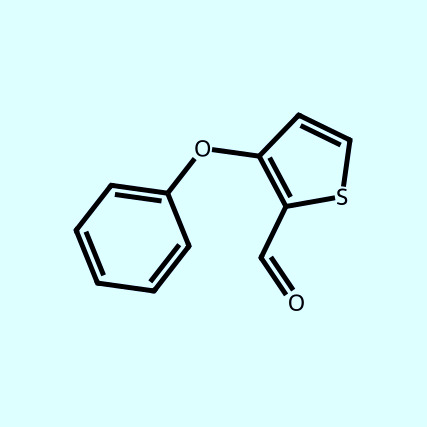 O=Cc1sccc1Oc1ccccc1